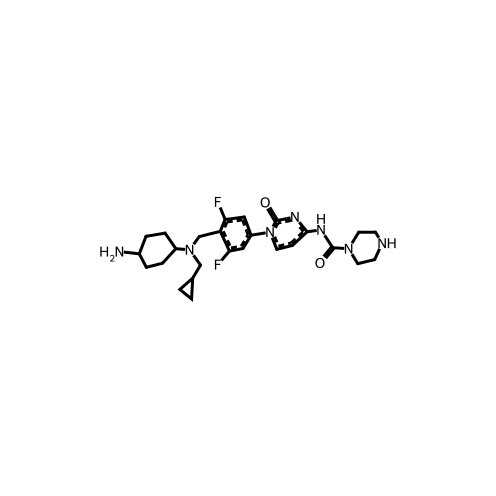 NC1CCC(N(Cc2c(F)cc(-n3ccc(NC(=O)N4CCNCC4)nc3=O)cc2F)CC2CC2)CC1